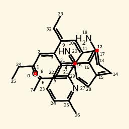 C=C(/C=C(\C=C/C(C)=O)C(/C=C1/C=C/C=C(\C(=C\N)C(=N)c2cccc(C)n2)/C=C\C1=C)=C/C)CC